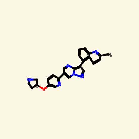 Bc1ccc2c(-c3cnn4cc(-c5ccc(O[C@H]6CCNC6)cn5)cnc34)cccc2n1